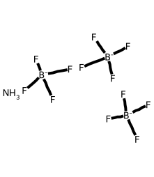 F[B-](F)(F)F.F[B-](F)(F)F.F[B-](F)(F)F.N